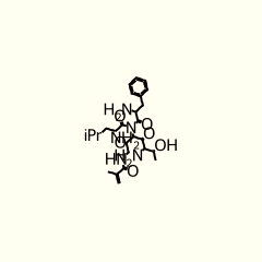 C=C(C)C(=O)NCC(=O)C(C(=O)C(N)C(C)O)N(C(=O)C(N)Cc1ccccc1)C(=O)C(N)CC(C)C